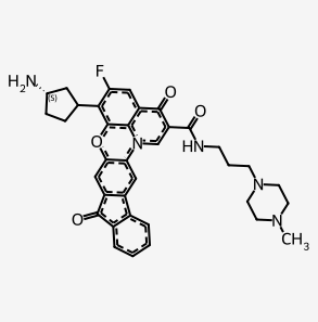 CN1CCN(CCCNC(=O)c2cn3c4cc5c(cc4oc4c(C6CC[C@H](N)C6)c(F)cc(c2=O)c43)c(=O)c2ccccc25)CC1